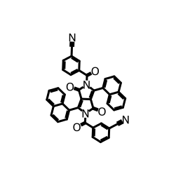 N#Cc1cccc(C(=O)N2C(=O)C3=C(c4cccc5ccccc45)N(C(=O)c4cccc(C#N)c4)C(=O)C3=C2c2cccc3ccccc23)c1